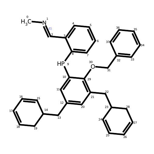 C/N=C/c1ccccc1Pc1cc(CC2C=CC=CC2)cc(CC2C=CC=CC2)c1OCc1ccccc1